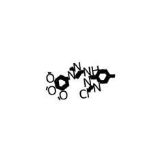 COc1cc(-n2cnc(Nc3nc(Cl)nc4cc(C)ccc34)c2)cc(OC)c1OC